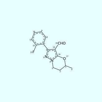 CC1CCn2nc(-c3ccccc3F)c(C=O)c2O1